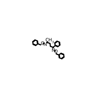 CC(CCC(=NOCc1ccccc1)c1ccccc1)=NOCc1ccccc1